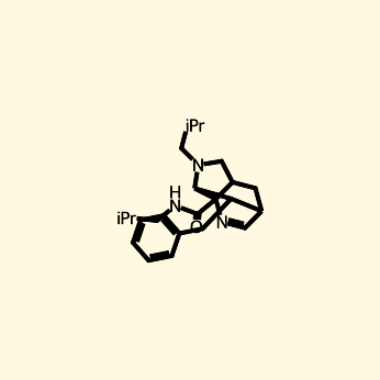 CC(C)CNC(=O)C12N=CC3CC1CN(CC(C)C)C2C3Cc1ccccc1